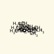 CCC(C)OC(=O)OC(C)CC(c1ccc(OC(=O)C(C)CC)c(OC(=O)C(C)CC)c1)[C@H](N)C(=O)O